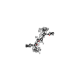 Cc1c(COc2cc(OCc3ccc(-n4cccn4)nc3)c(CN(C)C(C(=O)O)C(C)O)cc2Cl)cccc1-c1cccc(COc2cc(OCc3ccc(-n4cccn4)nc3)c(CN(C)C(C(=O)O)C(C)O)cc2Cl)c1C